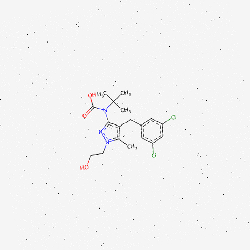 Cc1c(Cc2cc(Cl)cc(Cl)c2)c(N(C(=O)O)C(C)(C)C)nn1CCO